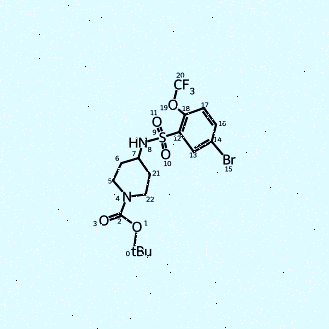 CC(C)(C)OC(=O)N1CCC(NS(=O)(=O)c2cc(Br)ccc2OC(F)(F)F)CC1